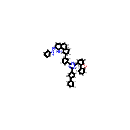 N=C1/C(=N\Nc2ccccc2)C=Cc2ccc3ccc(-c4cccc(-c5nc(-c6ccc(-c7ccccc7)cc6)nc(-c6cccc7oc8ccccc8c67)n5)c4)cc3c21